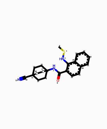 CSNc1c(C(=O)NC23CCC(C#N)(CC2)CC3)ccc2ccccc12